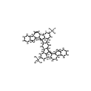 CC(C)(C)c1cc2c3c#cc4c5ccccc5oc4c3n3c4cc5c6cc(C(C)(C)C)cc7c8ccc9c%10ccccc%10oc9c8n(c5cc4c(c1)c23)c67